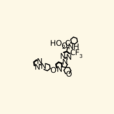 O=C(NC1(C(=O)O)CCCCC1)c1cnc(N2CC3(CCOCC3)c3nc(OC4CCN(c5ncccn5)CC4)ccc32)nc1C(F)(F)F